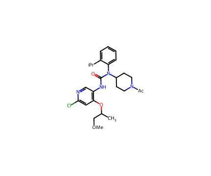 COCC(C)Oc1cc(Cl)ncc1NC(=O)N(c1ccccc1C(C)C)C1CCN(C(C)=O)CC1